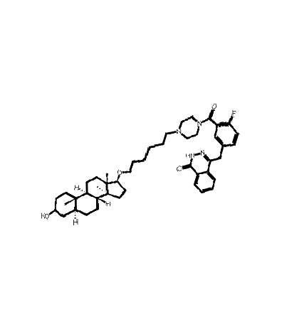 C[C@]12CCC(O)C[C@@H]1CC[C@@H]1[C@@H]2CC[C@]2(C)[C@@H](OCCCCCCN3CCN(C(=O)c4cc(Cc5n[nH]c(=O)c6ccccc56)ccc4F)CC3)CC[C@@]12C